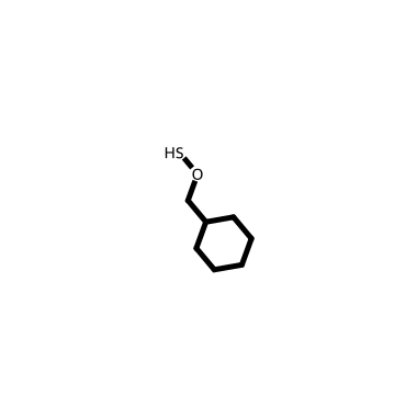 SOCC1CCCCC1